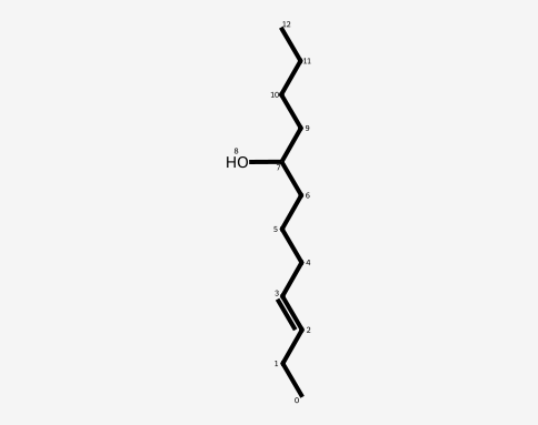 CCC=CCCCC(O)CCCC